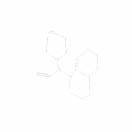 C=CC(C1OCCc2ccccc21)N1CCNCC1